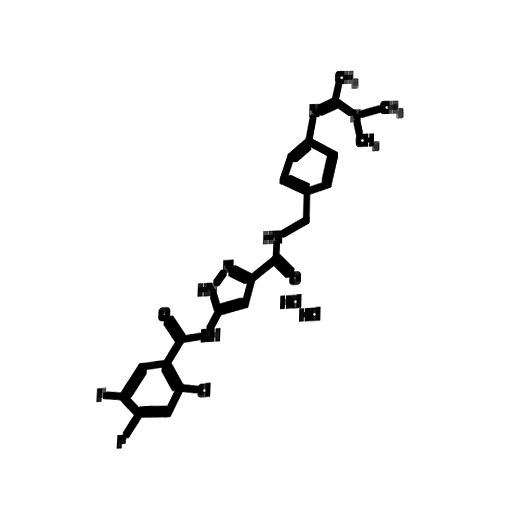 CC(=Nc1ccc(CNC(=O)c2cc(NC(=O)c3cc(F)c(F)cc3Cl)[nH]n2)cc1)N(C)C.Cl.Cl